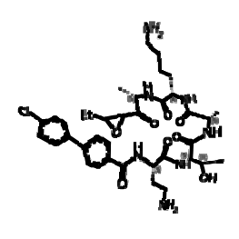 CCC1OC1C(=O)[C@H](C)NC(=O)[C@H](CCCCN)NC(=O)[C@H](C)NC(=O)[C@@H](NC(=O)[C@H](CCN)NC(=O)c1ccc(-c2ccc(Cl)cc2)cc1)[C@@H](C)O